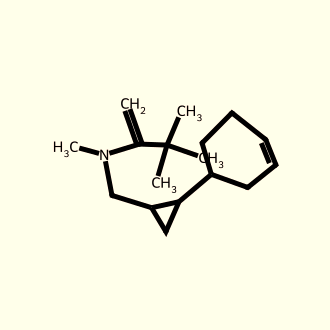 C=C(N(C)CC1CC1C1CC=CCC1)C(C)(C)C